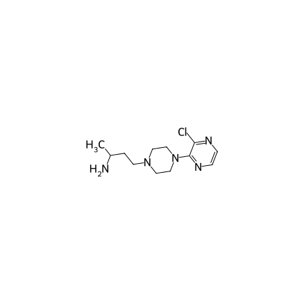 CC(N)CCN1CCN(c2nccnc2Cl)CC1